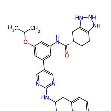 CC(C)Oc1cc(NC(=O)[C@H]2CCC3=C(C2)NNN3)cc(-c2cnc(NC3CCc4ccccc4C3)nc2)c1